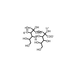 CCCCCCCCCCC(O)(C(=O)[O-])C(O)C(O)C(O)CO.CCCCCCCCCCC(O)(C(=O)[O-])C(O)C(O)C(O)CO.[K+].[Li+]